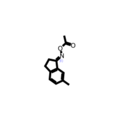 CC(=O)O/N=C1\CCc2ccc(C)cc21